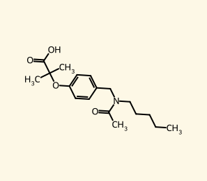 CCCCCN(Cc1ccc(OC(C)(C)C(=O)O)cc1)C(C)=O